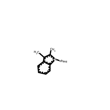 CCCCCn1c(C)c(C)c2ccccc21